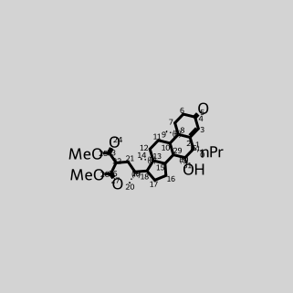 CCC[C@H]1C2=CC(=O)CC[C@]2(C)C2CC[C@@]3(C)C(CCC3[C@H](C)CC(C(=O)OC)C(=O)OC)C2[C@@H]1O